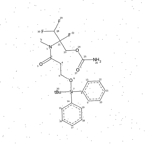 CN(C(=O)CCO[Si](c1ccccc1)(c1ccccc1)C(C)(C)C)C(F)(COC(N)=O)C(F)F